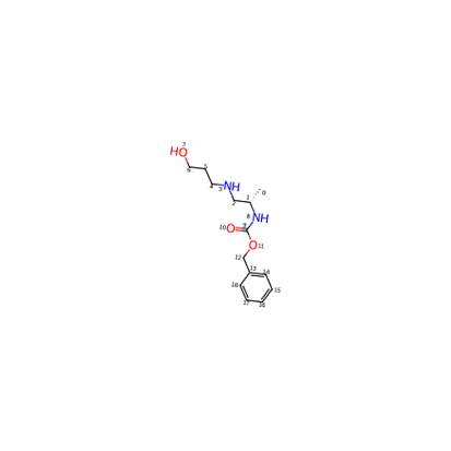 C[C@@H](CNCCCO)NC(=O)OCc1ccccc1